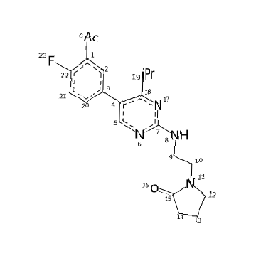 CC(=O)c1cc(-c2cnc(NCCN3CCCC3=O)nc2C(C)C)ccc1F